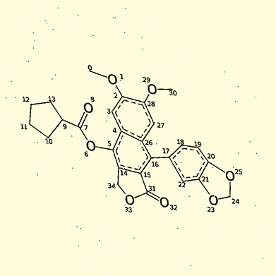 COc1cc2c(OC(=O)C3CCCC3)c3c(c(-c4ccc5c(c4)OCO5)c2cc1OC)C(=O)OC3